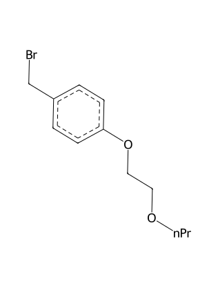 CCCOCCOc1ccc(CBr)cc1